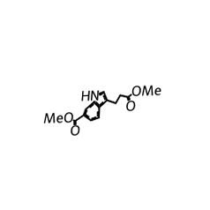 COC(=O)CCc1c[nH]c2cc(C(=O)OC)ccc12